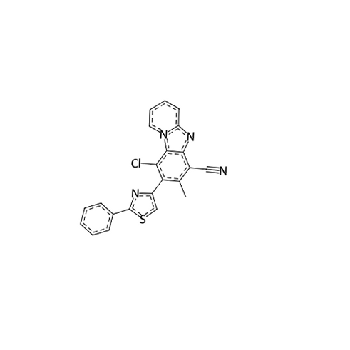 Cc1c(-c2csc(-c3ccccc3)n2)c(Cl)c2c(nc3ccccn32)c1C#N